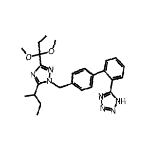 CCC(C)c1nc(C(CC)(OC)OC)nn1Cc1ccc(-c2ccccc2-c2nnn[nH]2)cc1